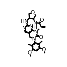 C=CC(=O)NC1COCC1Nc1ncc2c(n1)N(C)C(=O)N(c1c(C)c(OC)cc(OC)c1C)C2